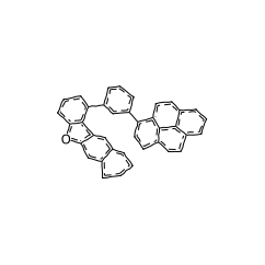 c1cc(-c2ccc3ccc4cccc5ccc2c3c45)cc(-c2cccc3oc4cc5ccccc5cc4c23)c1